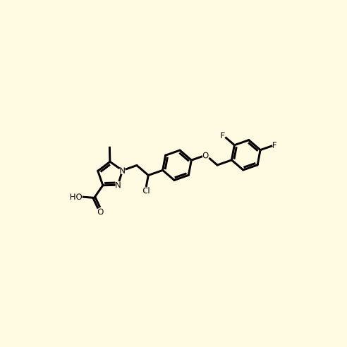 Cc1cc(C(=O)O)nn1CC(Cl)c1ccc(OCc2ccc(F)cc2F)cc1